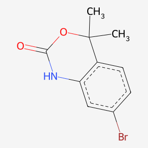 CC1(C)OC(=O)Nc2cc(Br)ccc21